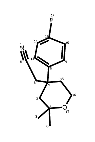 CC1(C)CC(CC#N)(c2ccc(F)cc2)CCO1